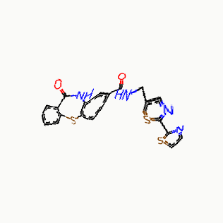 O=C(NCc1cnc(-c2nccs2)s1)c1ccc2c(c1)NC(=O)c1ccccc1S2